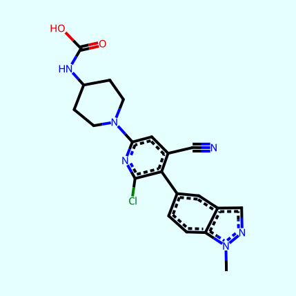 Cn1ncc2cc(-c3c(C#N)cc(N4CCC(NC(=O)O)CC4)nc3Cl)ccc21